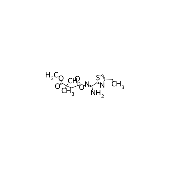 CCc1csc(/C(N)=N/OC(=O)CC(C)(C)C(=O)OC)n1